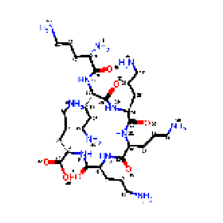 NCCC[C@H](NC(=O)[C@H](CCCN)NC(=O)[C@H](CCCN)NC(=O)[C@H](CCCN)NC(=O)[C@H](CCCN)NC(=O)[C@@H](N)CCCN)C(=O)O